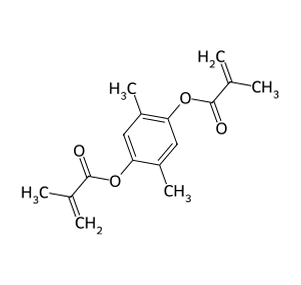 C=C(C)C(=O)Oc1cc(C)c(OC(=O)C(=C)C)cc1C